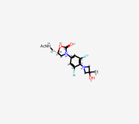 CCC1(O)CN(c2c(F)cc(N3C[C@H](CNC(C)=O)OC3=O)cc2F)C1